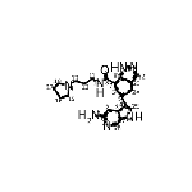 Nc1cc2c(-c3cc(C(=O)NCCCN4CCCC4)c4[nH]ncc4c3)c[nH]c2cn1